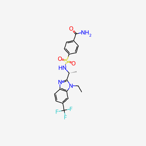 CCn1c([C@@H](C)NS(=O)(=O)c2ccc(C(N)=O)cc2)nc2ccc(C(F)(F)F)cc21